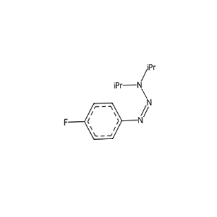 CC(C)N(/N=N\c1ccc(F)cc1)C(C)C